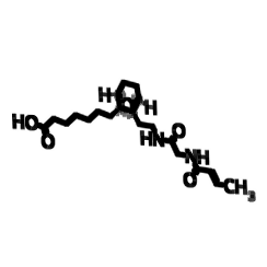 CC=CC(=O)NCC(=O)NCC[C@H]1[C@@H](CCCCCCC(=O)O)[C@H]2CC[C@@H]1O2